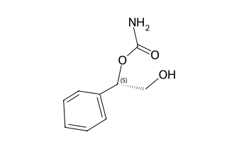 NC(=O)O[C@H](CO)c1ccccc1